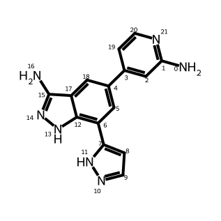 Nc1cc(-c2cc(-c3ccn[nH]3)c3[nH]nc(N)c3c2)ccn1